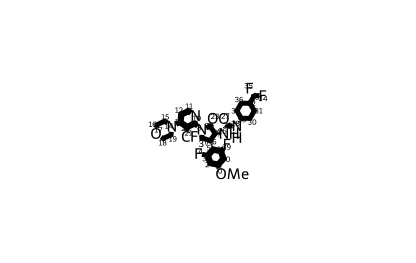 COc1cc(F)c([C@@H]2CN(c3nccc(N4CCOCC4)c3C(F)(F)F)C(=O)[C@H]2NC(=O)NC2CCC(C(F)F)CC2)c(F)c1